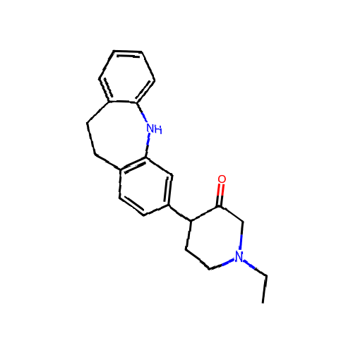 CCN1CCC(c2ccc3c(c2)Nc2ccccc2CC3)C(=O)C1